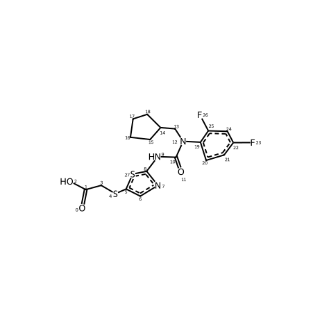 O=C(O)CSc1cnc(NC(=O)N(CC2CCCC2)c2ccc(F)cc2F)s1